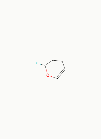 FC1CCC=CO1